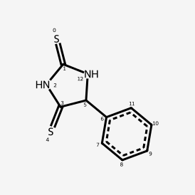 S=C1NC(=S)C(c2ccccc2)N1